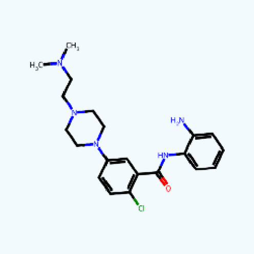 CN(C)CCN1CCN(c2ccc(Cl)c(C(=O)Nc3ccccc3N)c2)CC1